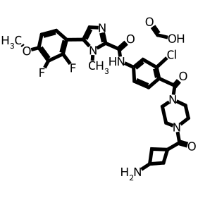 COc1ccc(-c2cnc(C(=O)Nc3ccc(C(=O)N4CCN(C(=O)C5CC(N)C5)CC4)c(Cl)c3)n2C)c(F)c1F.O=CO